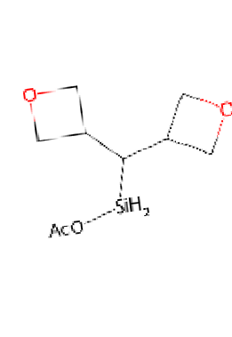 CC(=O)O[SiH2]C(C1COC1)C1COC1